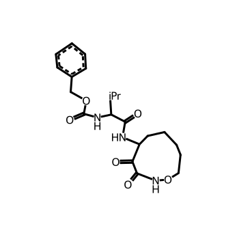 CC(C)C(NC(=O)OCc1ccccc1)C(=O)NC1CCCCCONC(=O)C1=O